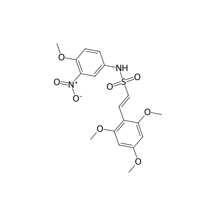 COc1cc(OC)c(C=CS(=O)(=O)Nc2ccc(OC)c([N+](=O)[O-])c2)c(OC)c1